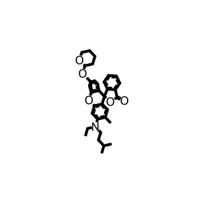 CCN(CCC(C)C)c1cc2c(cc1C)C1(OC(=O)c3ccccc31)c1ccc(OC3CCCCO3)cc1O2